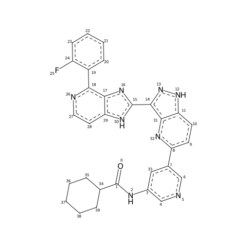 O=C(Nc1cncc(-c2ccc3[nH]nc(-c4nc5c(-c6ccccc6F)nccc5[nH]4)c3n2)c1)C1CCCCC1